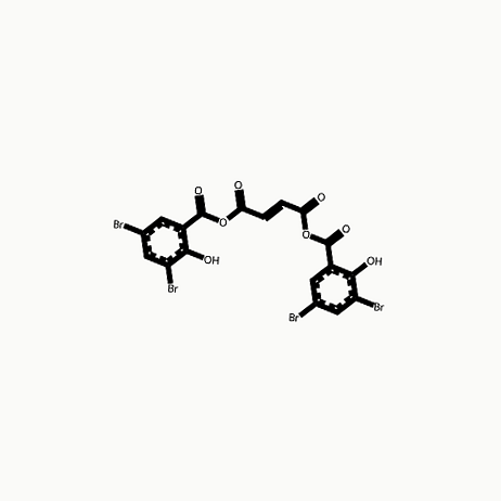 O=C(C=CC(=O)OC(=O)c1cc(Br)cc(Br)c1O)OC(=O)c1cc(Br)cc(Br)c1O